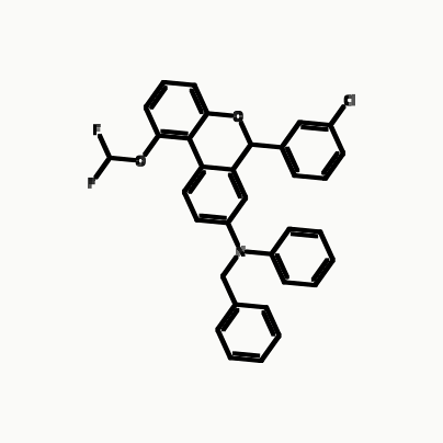 FC(F)Oc1cccc2c1-c1ccc(N(Cc3ccccc3)c3ccccc3)cc1C(c1cccc(Cl)c1)O2